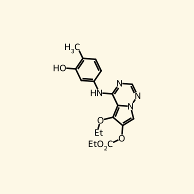 CCOC(=O)Oc1cn2ncnc(Nc3ccc(C)c(O)c3)c2c1OCC